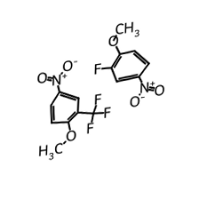 COc1ccc([N+](=O)[O-])cc1C(F)(F)F.COc1ccc([N+](=O)[O-])cc1F